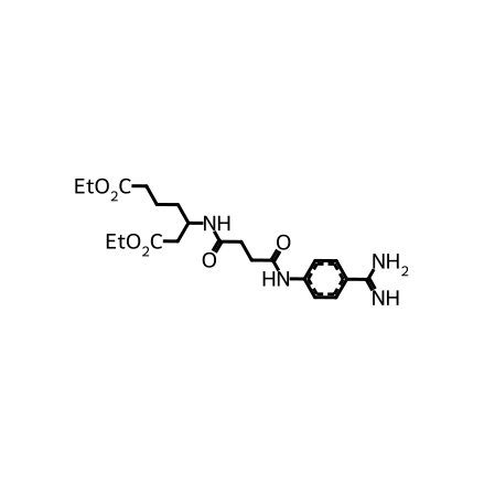 CCOC(=O)CCCC(CC(=O)OCC)NC(=O)CCC(=O)Nc1ccc(C(=N)N)cc1